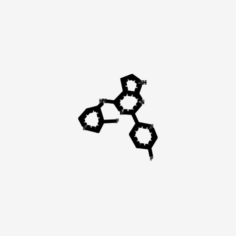 Fc1ccc(-c2nc(Nc3ccncc3F)c3cc[nH]c3n2)nc1